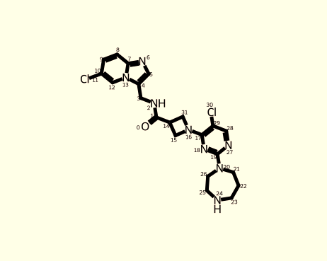 O=C(NCc1cnc2ccc(Cl)cn12)C1CN(c2nc(N3CCCNCC3)ncc2Cl)C1